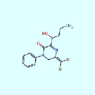 CCCC(O)C1=NC(=C(Br)Br)CN(c2ccccc2)C1=O